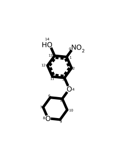 O=[N+]([O-])c1cc(OC2CCOCC2)ccc1O